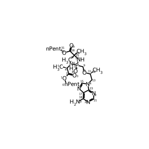 CCCCCOC(=O)[C@@H](C)NP(=O)(CO[C@@H](C)Cn1cnc2c(N)ncnc21)NC(C)(C)C(=O)OCCCCC